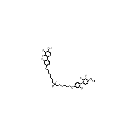 CCOc1ccc(-c2ccc(OCCCCCCC(F)(F)CCCCCCOc3ccc(-c4ccc(O)c(F)c4F)c(F)c3)cc2F)c(F)c1F